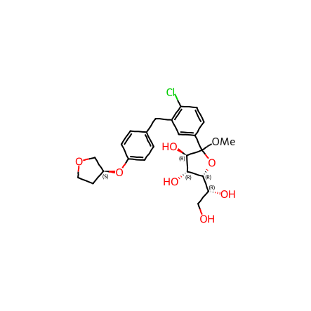 COC1(c2ccc(Cl)c(Cc3ccc(O[C@H]4CCOC4)cc3)c2)O[C@H]([C@H](O)CO)[C@H](O)[C@H]1O